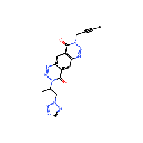 CC#CCn1nnc2cc3c(=O)n(C(C)Cn4ncnn4)nnc3cc2c1=O